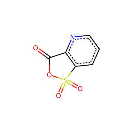 O=C1OS(=O)(=O)c2cccnc21